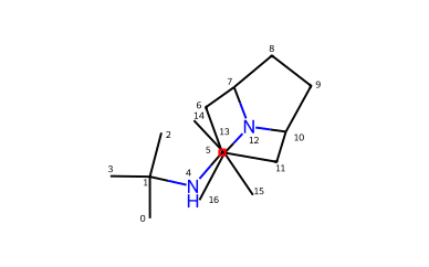 CC(C)(C)NC1CC2CCC(C1)N2C(C)(C)C